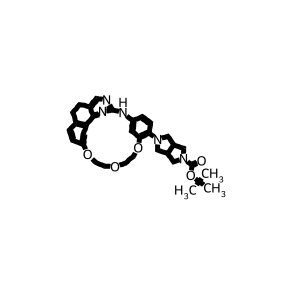 CC(C)(C)OC(=O)N1CC2CN(c3ccc4cc3OCCOCCOc3ccc5c(c3)-c3nc(ncc3CC5)N4)CC2C1